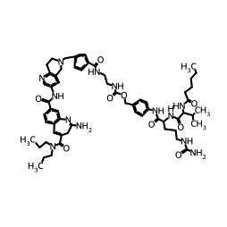 CCCCCC(=O)NC(C(=O)NC(CCCNC(N)=O)C(=O)Nc1ccc(COC(=O)NCCNC(=O)c2ccc(CN3CCc4ncc(NC(=O)c5ccc6c(c5)N=C(N)CC(C(=O)N(CCC)CCC)=C6)cc4C3)cc2)cc1)C(C)C